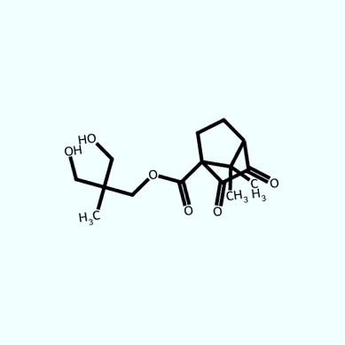 CC(CO)(CO)COC(=O)C12CCC(C(=O)C1=O)C2(C)C